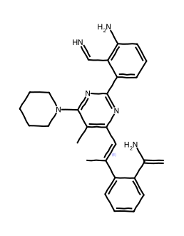 C=C(N)c1ccccc1/C(C)=C/c1nc(-c2cccc(N)c2C=N)nc(N2CCCCC2)c1C